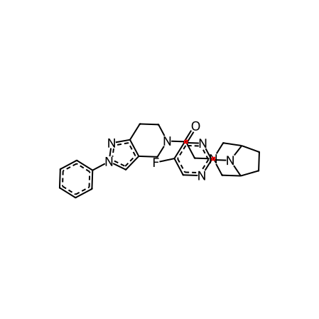 O=C(CN1CC2CCC(C1)N2c1ncc(F)cn1)N1CCc2nn(-c3ccccc3)cc2C1